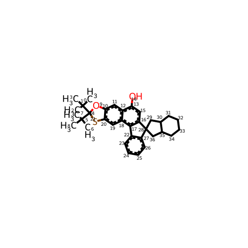 CC(C)(C)C1(C(C)(C)C)Oc2cc3c(O)cc4c(c3cc2S1)-c1ccccc1C41CC2CCCCC2C1